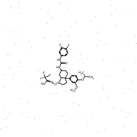 COc1cc(C23CCC(NC(=O)Nc4ccc(F)c(F)c4)CC2N(C)CC3)ccc1OC(C)C.O=C(O)C(F)(F)F